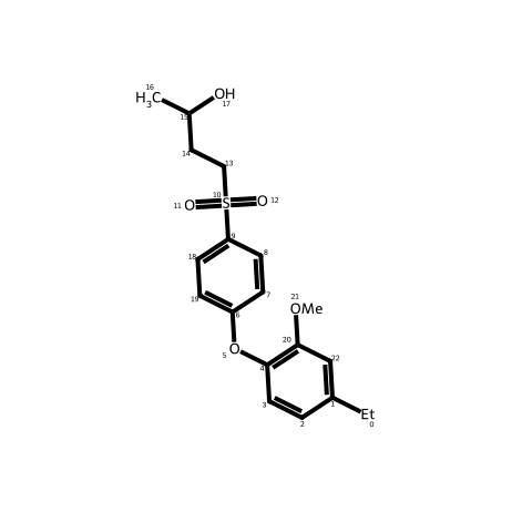 CCc1ccc(Oc2ccc(S(=O)(=O)CCC(C)O)cc2)c(OC)c1